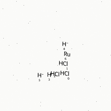 Cl.Cl.Cl.[H-].[H-].[H-].[Ru]